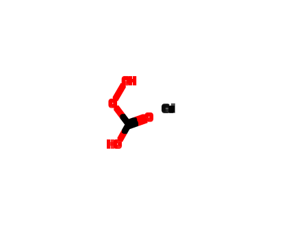 O=C(O)OO.[Gd]